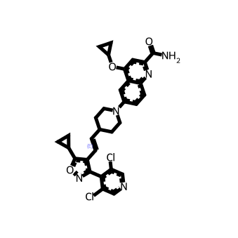 NC(=O)c1cc(OC2CC2)c2cc(N3CCC(/C=C/c4c(-c5c(Cl)cncc5Cl)noc4C4CC4)CC3)ccc2n1